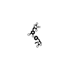 CCN1C(=O)OCC1Cc1ccc(Oc2ccc(C=C3SC(=O)NC3=O)cc2Cl)cc1